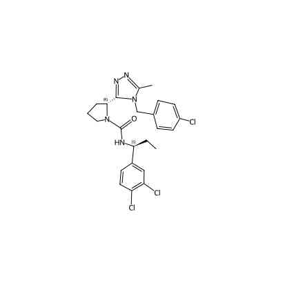 CC[C@H](NC(=O)N1CCC[C@@H]1c1nnc(C)n1Cc1ccc(Cl)cc1)c1ccc(Cl)c(Cl)c1